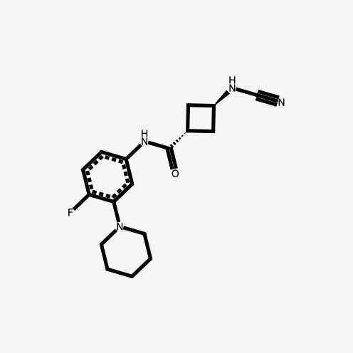 N#CN[C@H]1C[C@H](C(=O)Nc2ccc(F)c(N3CCCCC3)c2)C1